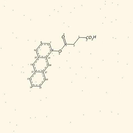 O=C(O)CCC(=O)Oc1cccc2cc3ccccc3cc12